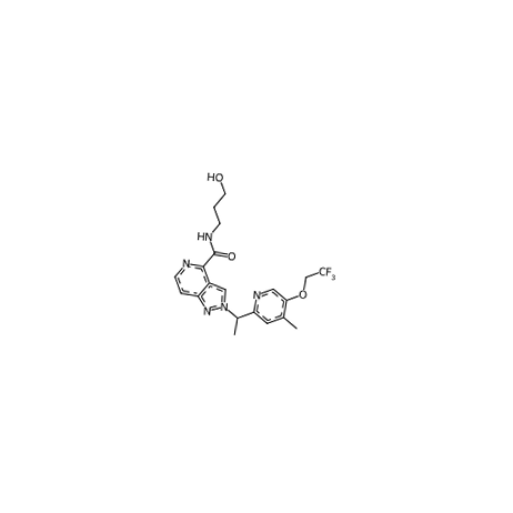 Cc1cc(C(C)n2cc3c(C(=O)NCCCO)nccc3n2)ncc1OCC(F)(F)F